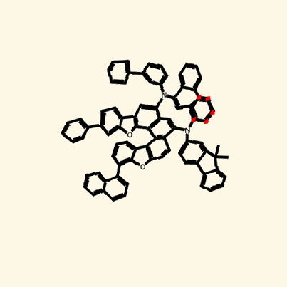 CC1(C)c2ccccc2-c2ccc(N(c3ccccc3)c3cc4c(N(c5cccc(-c6ccccc6)c5)c5cc6ccccc6c6ccccc56)cc5c6ccc(-c7ccccc7)cc6oc5c4c4c3ccc3oc5c(-c6cccc7ccccc67)cccc5c34)cc21